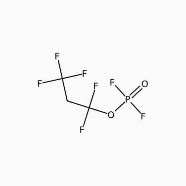 O=P(F)(F)OC(F)(F)CC(F)(F)F